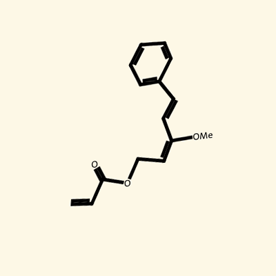 C=CC(=O)OC/C=C(\C=C\c1ccccc1)OC